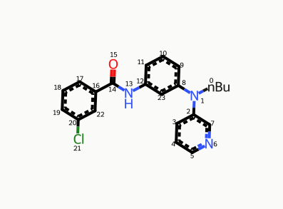 CCCCN(c1cccnc1)c1cccc(NC(=O)c2cccc(Cl)c2)c1